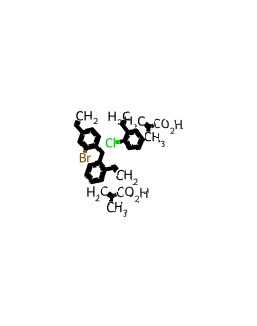 C=C(C)C(=O)O.C=C(C)C(=O)O.C=Cc1ccc(Cc2ccccc2C=C)c(Br)c1.C=Cc1ccccc1Cl